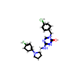 O=c1nc(NC[C@@H]2CCCN2C2=CC=C(F)CC2)ncn1Cc1ccc(Cl)cc1